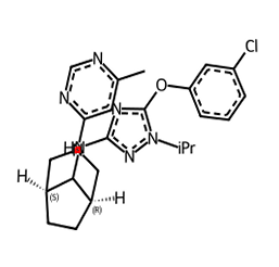 Cc1cc(N2C[C@H]3CC[C@@H](C2)C3Nc2nc(Oc3cccc(Cl)c3)n(C(C)C)n2)ncn1